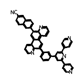 N#Cc1ccc2cc(-c3cc4c5cccnc5c(-c5cccc(-c6cc(-c7ccncc7)nc(-c7ccncc7)c6)c5)cc4c4cccnc34)ccc2c1